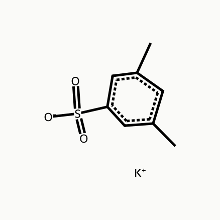 Cc1cc(C)cc(S(=O)(=O)[O-])c1.[K+]